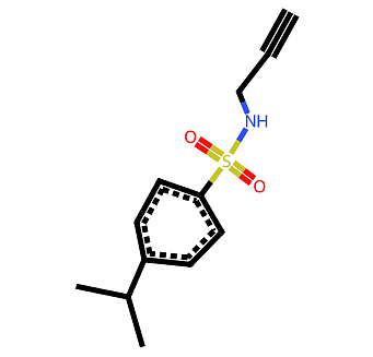 C#CCNS(=O)(=O)c1ccc(C(C)C)cc1